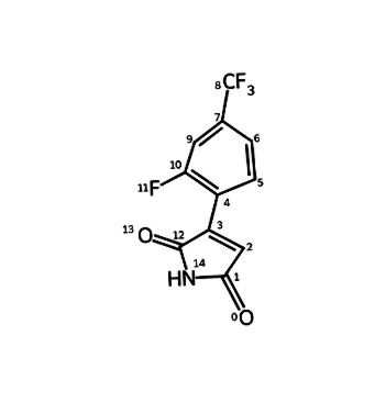 O=C1C=C(c2ccc(C(F)(F)F)cc2F)C(=O)N1